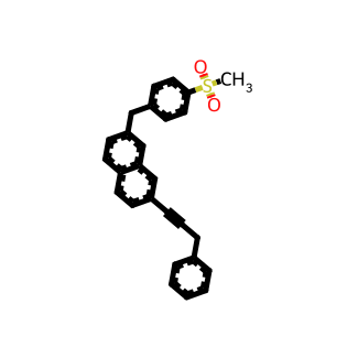 CS(=O)(=O)c1ccc(Cc2ccc3ccc(C#CCc4ccccc4)cc3c2)cc1